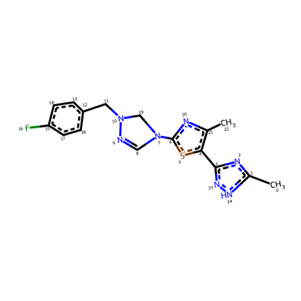 Cc1nc(-c2sc(N3C=NN(Cc4ccc(F)cc4)C3)nc2C)n[nH]1